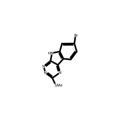 CSc1nnc2[nH]c3cc(Br)ccc3c2n1